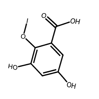 O=C(O)c1cc(O)cc(O)c1OI